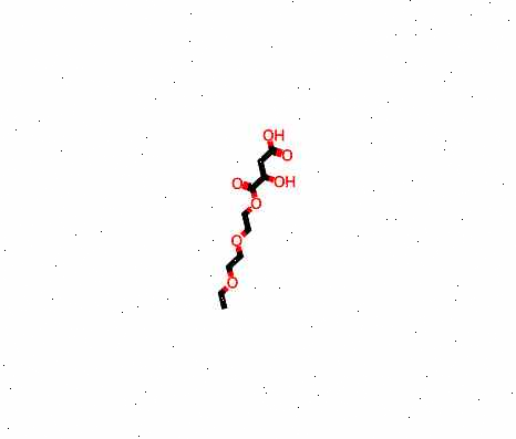 CCOCCOCCOC(=O)C(O)CC(=O)O